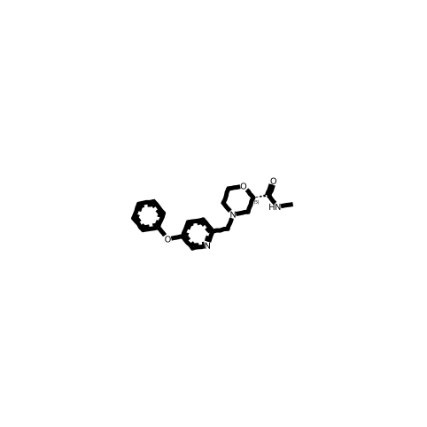 CNC(=O)[C@@H]1CN(Cc2ccc(Oc3ccccc3)cn2)CCO1